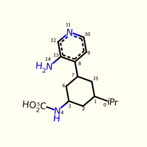 CC(C)C1CC(NC(=O)O)CC(c2ccncc2N)C1